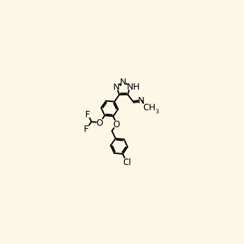 C/N=C/c1[nH]nnc1-c1ccc(OC(F)F)c(OCc2ccc(Cl)cc2)c1